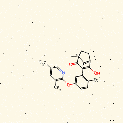 CCc1ccc(Oc2ncc(C(F)(F)F)cc2C(F)(F)F)cc1C1=C(O)C2=C(C)[C@](C)(CC2)C1=O